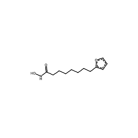 O=C(CCCCCCCc1ccco1)NO